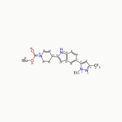 CCn1nc(C(F)(F)F)cc1-c1ccc2[nH]c(C3C=CN(C(=O)OC(C)(C)C)CC3)cc2c1